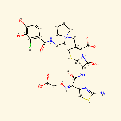 Nc1nc(/C(=N/OCC(=O)O)C(=O)NC2C(=O)N3C(C(=O)O)=C(C[N+]4(CCNC(=O)c5ccc(O)c(O)c5Cl)CCCC4)CSC23)cs1